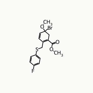 COC(=O)C1=C(CSc2ccc(F)cc2)C=CC(Br)(OC)C1